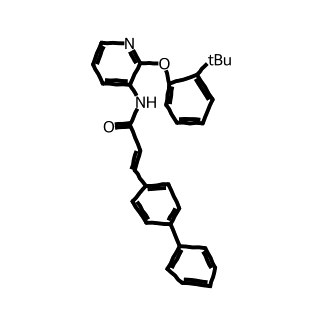 CC(C)(C)c1ccccc1Oc1ncccc1NC(=O)C=Cc1ccc(-c2ccccc2)cc1